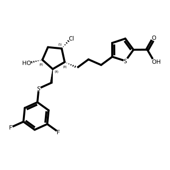 O=C(O)c1ccc(CCC[C@@H]2[C@@H](CSc3cc(F)cc(F)c3)[C@H](O)C[C@@H]2Cl)s1